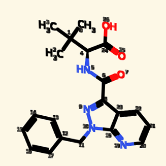 CC(C)(C)[C@H](NC(=O)c1nn(Cc2ccccc2)c2ncccc12)C(=O)O